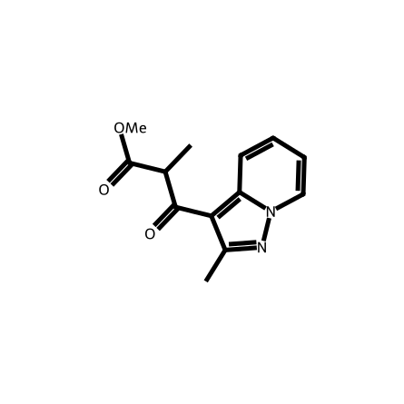 COC(=O)C(C)C(=O)c1c(C)nn2ccccc12